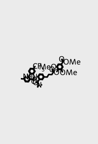 COC(=O)c1cc(OC)c(OC(=O)CCCc2ccc(NC(=O)c3ccc(C)nc3-c3ccc(C(F)(F)F)cc3)c(C(=O)N(C)C)c2)c(OC)c1